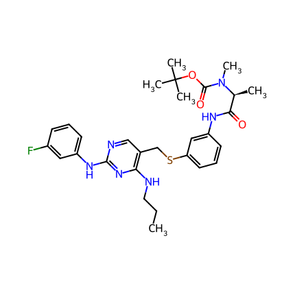 CCCNc1nc(Nc2cccc(F)c2)ncc1CSc1cccc(NC(=O)[C@H](C)N(C)C(=O)OC(C)(C)C)c1